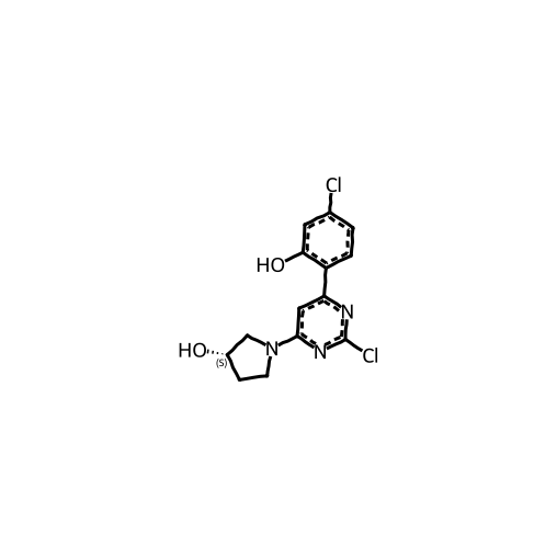 Oc1cc(Cl)ccc1-c1cc(N2CC[C@H](O)C2)nc(Cl)n1